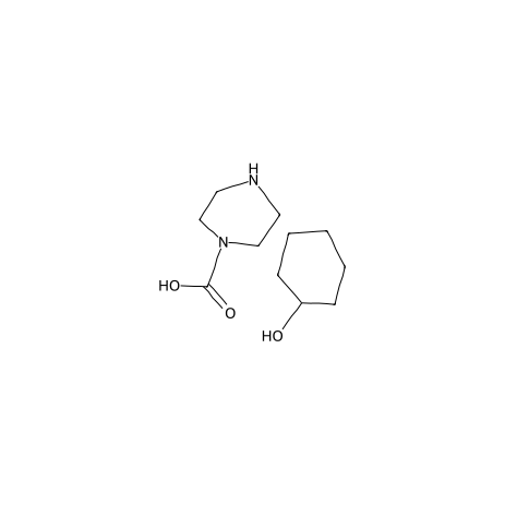 O=C(O)N1CCNCC1.OC1CCCCC1